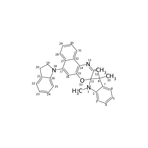 CN1c2ccccc2C(C)(C)C12C=Nc1c(cc(N3CCc4ccccc43)c3ccccc13)O2